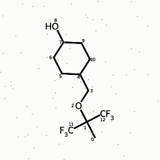 CC(OCC1CCC(O)CC1)(C(F)(F)F)C(F)(F)F